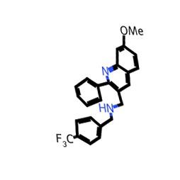 COc1ccc2cc(CNCc3ccc(C(F)(F)F)cc3)c(-c3ccccc3)nc2c1